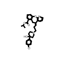 CC(C)OC(=O)c1cccc2c1CC(=CCCN1CCC(O)(c3ccc(Cl)cc3)CC1)c1cccnc1O2